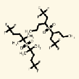 CC(C)(CCC(F)(F)F)S(=O)(=O)C(C)(C)CCC(F)(F)F.CCCC(CC(F)(F)F)S(=O)(=O)C(CCC)CC(F)(F)F